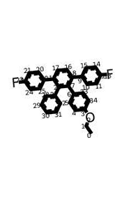 CCOc1ccc(-c2c(-c3ccc(F)cc3)[c]cc(-c3ccc(F)cc3)c2-c2ccccc2)cc1